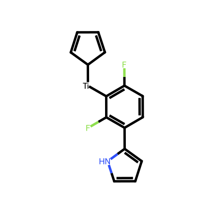 Fc1ccc(-c2ccc[nH]2)c(F)[c]1[Ti][CH]1C=CC=C1